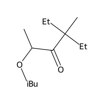 CCC(C)OC(C)C(=O)C(C)(CC)CC